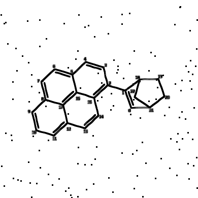 C1=C(c2ccc3ccc4cccc5ccc2c3c45)C2CCC1C2